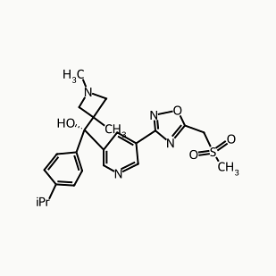 CC(C)c1ccc([C@](O)(c2cncc(-c3noc(CS(C)(=O)=O)n3)c2)C2(C)CN(C)C2)cc1